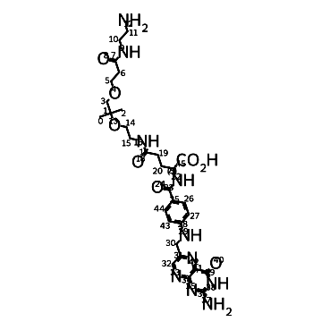 CC(C)(COCCC(=O)NCCN)OCCNC(=O)CC[C@H](NC(=O)c1ccc(NCc2cnc3nc(N)[nH]c(=O)c3n2)cc1)C(=O)O